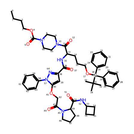 CCCCOC(=O)N1CCN(C(=O)C(CCCO[Si](c2ccccc2)(c2ccccc2)C(C)(C)C)NC(=O)c2cc(OCC(=O)N3CCCC3C(=O)NC3CCC3)n(-c3ccccc3)n2)CC1